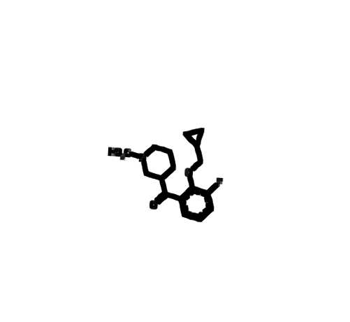 O=C(c1cccc(F)c1OCC1CC1)C1CCCN(C(=O)O)C1